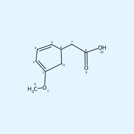 COC1=CC=CC(CC(=O)O)C1